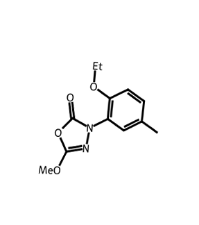 CCOc1ccc(C)cc1-n1nc(OC)oc1=O